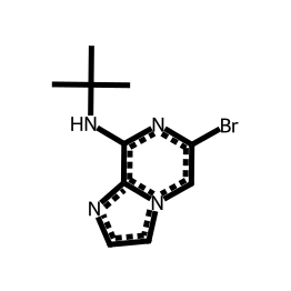 CC(C)(C)Nc1nc(Br)cn2ccnc12